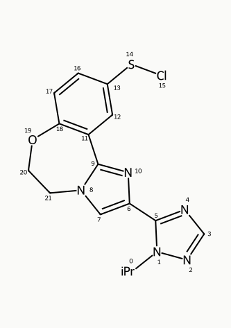 CC(C)n1ncnc1-c1cn2c(n1)-c1cc(SCl)ccc1OCC2